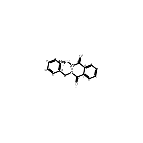 CCCCCCCOC(=O)c1ccccc1C(=O)OCc1ccccc1